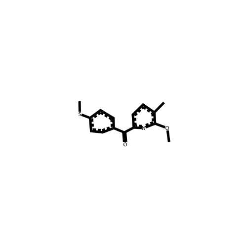 COc1nc(C(=O)c2ccc(SC)cc2)ccc1C